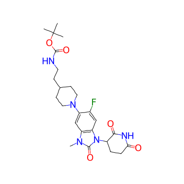 Cn1c(=O)n(C2CCC(=O)NC2=O)c2cc(F)c(N3CCC(CCNC(=O)OC(C)(C)C)CC3)cc21